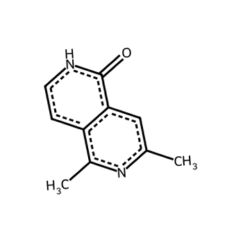 Cc1cc2c(=O)[nH]ccc2c(C)n1